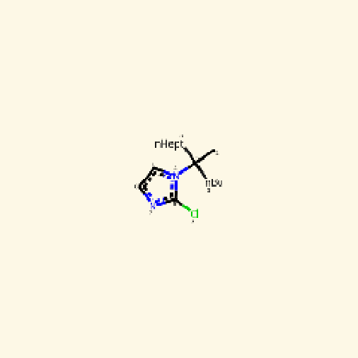 CCCCCCCC(C)(CCCC)n1ccnc1Cl